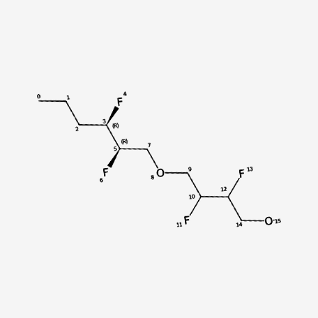 CCC[C@@H](F)[C@H](F)COCC(F)C(F)C[O]